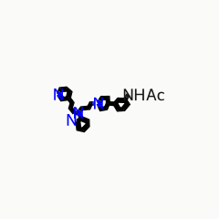 CC(=O)Nc1cccc(C2CCN(CCCn3c(CCc4cccnc4)nc4ccccc43)CC2)c1